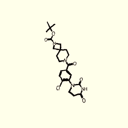 CC(C)(C)OC(=O)N1CC2(CCN(C(=O)c3ccc(Cl)c(N4CCC(=O)NC4=O)c3)CC2)C1